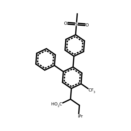 CC(C)CC(C(=O)O)c1cc(-c2ccccc2)c(-c2ccc(S(C)(=O)=O)cc2)cc1C(F)(F)F